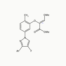 CO/C=C(\Oc1cc(-n2cc(F)c(C(C)C)n2)ccc1C)C(=O)OC